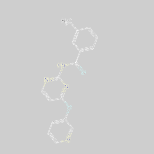 Cc1cccc(C(=O)Nc2nccc(Oc3cccnc3)n2)c1